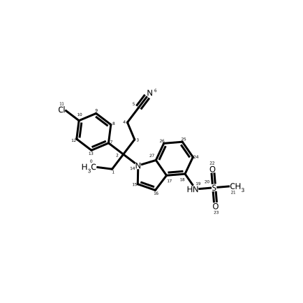 CCC(CCC#N)(c1ccc(Cl)cc1)n1ccc2c(NS(C)(=O)=O)cccc21